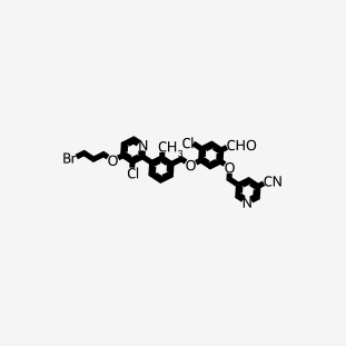 Cc1c(COc2cc(OCc3cncc(C#N)c3)c(C=O)cc2Cl)cccc1-c1nccc(OCCCBr)c1Cl